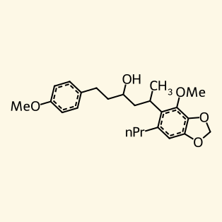 CCCc1cc2c(c(OC)c1C(C)CC(O)CCc1ccc(OC)cc1)OCO2